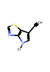 C#Cc1cn(CC)c2ncsc12